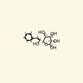 OC(=Cc1ccccc1)[C@H]1O[C@H](O)[C@@H](O)[C@@H](O)[C@@H]1O